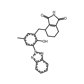 Cc1cc(CC2CCCC3=C2C(=O)NC3=O)c(O)c(-n2nc3ccccc3n2)c1